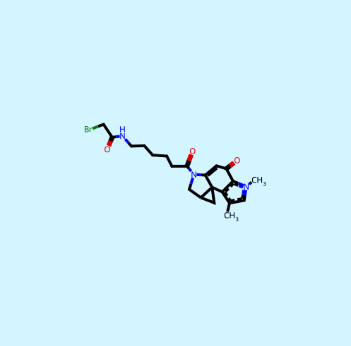 Cc1cn(C)c2c1C13CC1CN(C(=O)CCCCCNC(=O)CBr)C3=CC2=O